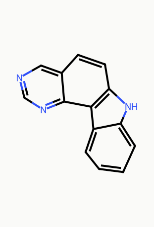 c1ccc2c(c1)[nH]c1ccc3cncnc3c12